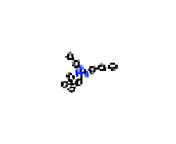 c1ccc(-c2ccc(-c3ccc(-c4nc(-c5ccc(-c6ccccc6)cc5)nc(-c5ccc6c(c5)C(c5ccccc5)(c5ccccc5)c5ccccc5-6)n4)cc3)cc2)cc1